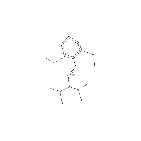 CCc1cccc(CC)c1/C=N/C(C(C)C)C(C)C